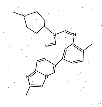 Cc1cn2cc(-c3ccc(C)c(/N=C\N(C=O)C4CCN(C)CC4)c3)ccc2n1